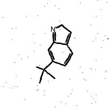 CC(C)(C)c1ccc2c(c1)=NCC=2